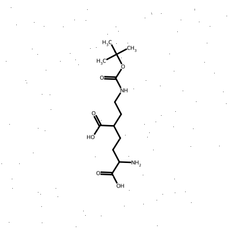 CC(C)(C)OC(=O)NCCC(CCC(N)C(=O)O)C(=O)O